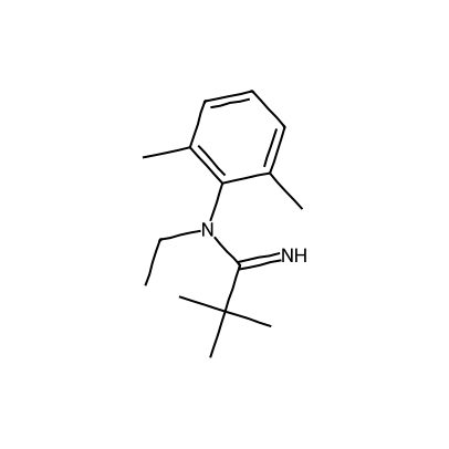 CCN(C(=N)C(C)(C)C)c1c(C)cccc1C